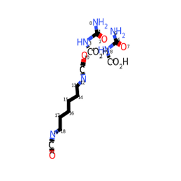 NC(=O)NC(=O)O.NC(=O)NC(=O)O.O=C=NCCCCCCN=C=O